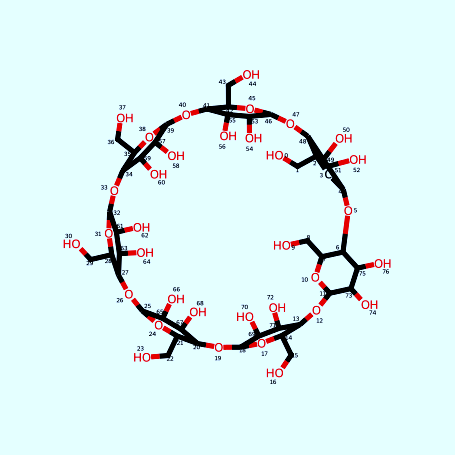 OCC1CC2OC3C(CO)OC(OC4C(CO)OC(OC5C(CO)OC(OC6C(CO)OC(OC7C(CO)OC(OC8C(CO)OC(OC1C(O)C2O)C(O)C8O)C(O)C7O)C(O)C6O)C(O)C5O)C(O)C4O)C(O)C3O